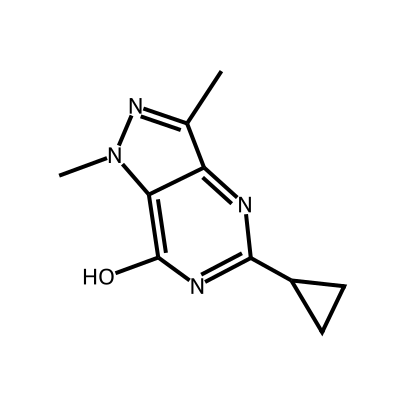 Cc1nn(C)c2c(O)nc(C3CC3)nc12